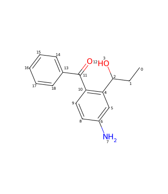 CCC(O)c1cc(N)ccc1C(=O)c1ccccc1